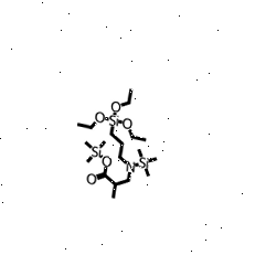 CCO[Si](CCCN(CC(C)C(=O)O[Si](C)(C)C)[Si](C)(C)C)(OCC)OCC